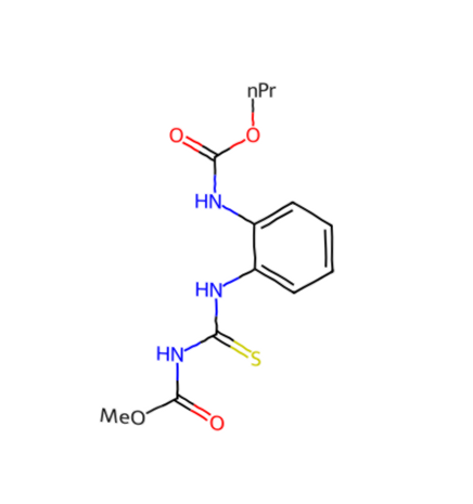 CCCOC(=O)Nc1ccccc1NC(=S)NC(=O)OC